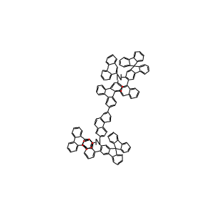 c1ccc2c(c1)-c1ccccc1C21c2ccccc2-c2cc(-c3cccc4ccccc34)c(N(c3ccc4c(ccc5cc(-c6ccc7c8ccc(N(c9cc%10c(cc9-c9cccc%11ccccc9%11)-c9ccccc9C%109c%10ccccc%10-c%10ccccc%109)c9cc%10ccccc%10c%10ccccc9%10)cc8c8ccccc8c7c6)ccc54)c3)c3ccc4c5ccccc5c5ccccc5c4c3)cc21